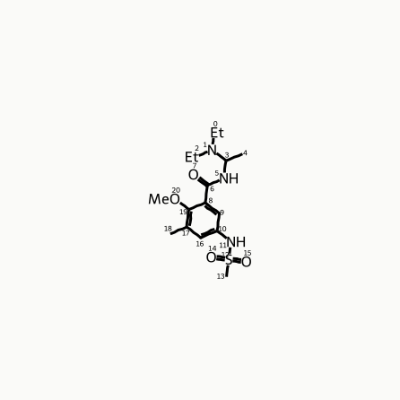 CCN(CC)C(C)NC(=O)c1cc(NS(C)(=O)=O)cc(C)c1OC